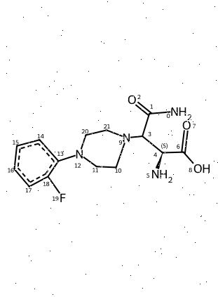 NC(=O)C([C@H](N)C(=O)O)N1CCN(c2ccccc2F)CC1